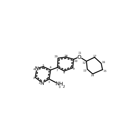 Nc1ncncc1-c1ccc(OC2CCCCC2)cc1